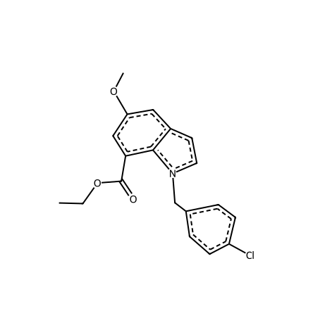 CCOC(=O)c1cc(OC)cc2ccn(Cc3ccc(Cl)cc3)c12